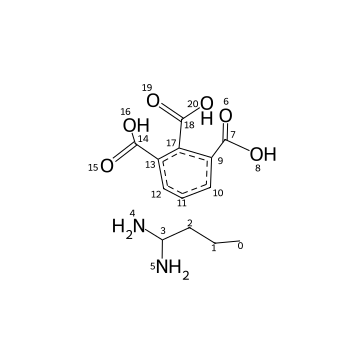 CCCC(N)N.O=C(O)c1cccc(C(=O)O)c1C(=O)O